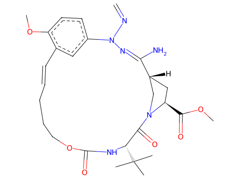 C=NN1/N=C(\N)[C@@H]2C[C@@H](C(=O)OC)N(C2)C(=O)[C@H](C(C)(C)C)NC(=O)OCCC/C=C/c2cc1ccc2OC